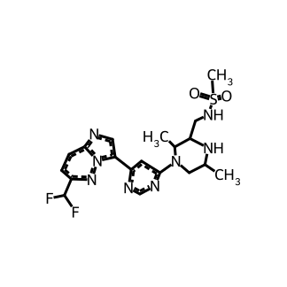 CC1CN(c2cc(-c3cnc4ccc(C(F)F)nn34)ncn2)C(C)C(CNS(C)(=O)=O)N1